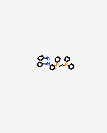 N#Cc1ccccc1.N#Cc1ccccc1.c1ccc(P(CCCP(c2ccccc2)c2ccccc2)c2ccccc2)cc1